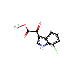 COC(=O)C(=O)c1c[nH]c2c(F)cccc12